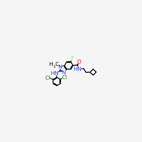 Cn1c(Nc2c(Cl)cccc2Cl)nc2cc(C(=O)NCCC3CCC3)c(F)cc21